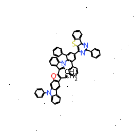 C=Cc1c(-c2c(C)n(-c3c(-c4ccccc4)cc(-c4nc(-c5ccccc5)nc5c4sc4ccccc45)cc3-c3ccccc3)c3ccccc23)oc2cc3c(cc12)c1ccccc1n3-c1ccccc1